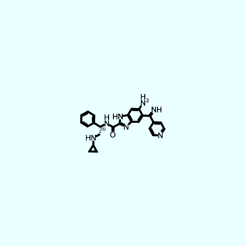 N=C(c1ccncc1)c1cc2nc(C(=O)N[C@H](CNC3CC3)c3ccccc3)[nH]c2cc1N